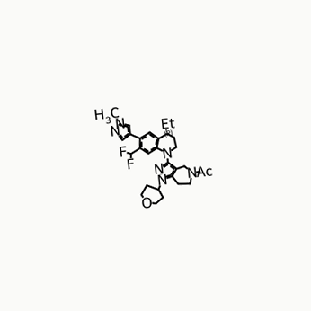 CC[C@@H]1CCN(c2nn(C3CCOCC3)c3c2CN(C(C)=O)CC3)c2cc(C(F)F)c(-c3cnn(C)c3)cc21